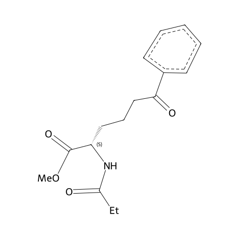 CCC(=O)N[C@@H](CCCC(=O)c1ccccc1)C(=O)OC